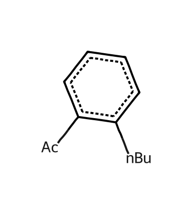 [CH2]C(=O)c1ccccc1CCCC